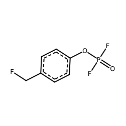 O=P(F)(F)Oc1ccc(CF)cc1